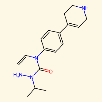 C=CN(C(=O)N(N)C(C)C)c1ccc(C2=CCNCC2)cc1